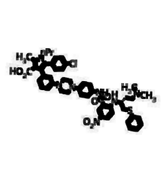 CCCn1c(C)c(C(=O)O)c(-c2cccc(N3CCN(c4ccc(NS(=O)(=O)c5cc([N+](=O)[O-])ccc5N[C@H](CCN(C)C)CSc5ccccc5)cc4)CC3)c2)c1-c1ccc(Cl)cc1